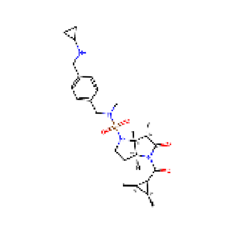 C[C@@H]1C(=O)N(C(=O)C2[C@@H](C)[C@H]2C)[C@H]2CCN(S(=O)(=O)N(C)Cc3ccc(CNC4CC4)cc3)[C@H]12